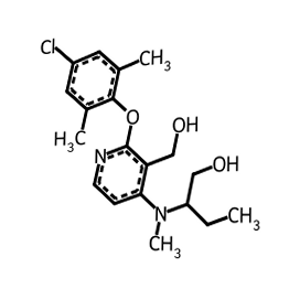 CCC(CO)N(C)c1ccnc(Oc2c(C)cc(Cl)cc2C)c1CO